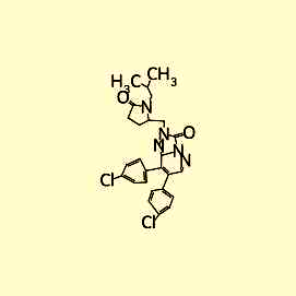 CC(C)CN1C(=O)CCC1Cn1nc2c(-c3ccc(Cl)cc3)c(-c3ccc(Cl)cc3)cnn2c1=O